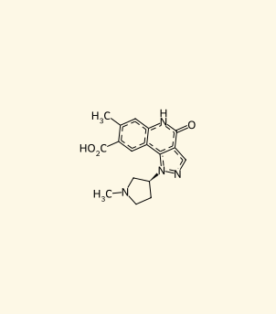 Cc1cc2[nH]c(=O)c3cnn([C@H]4CCN(C)C4)c3c2cc1C(=O)O